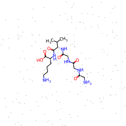 CC(C)[C@H](NC(=O)CNC(=O)CNC(=O)CN)C(=O)N[C@@H](CCCCN)C(=O)O